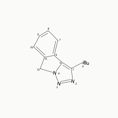 CCC(C)c1nnn2c1-c1ccccc1C2